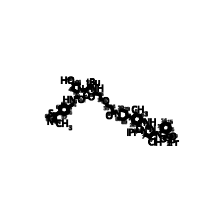 Cc1cc(Nc2ncc(Cl)c(Nc3ccccc3S(=O)(=O)C(C)C)n2)c(OC(C)C)cc1C1CCN(C(=O)CCOCCC(=O)NC(C(=O)N2C[C@H](O)C[C@H]2C(=O)NCc2ccc(-c3scnc3C)cc2)C(C)(C)C)CC1